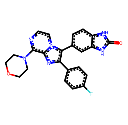 O=c1[nH]c2ccc(-c3c(-c4ccc(F)cc4)nc4c(N5CCOCC5)nccn34)cc2[nH]1